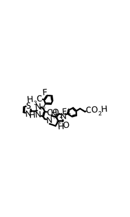 CCOC(=O)C1=C(CN2CC[C@@H]3C(=O)N(c4ccc(CCC(=O)O)cc4)C[C@@H]3C2)NC(c2nccs2)=N[C@H]1c1cccc(F)c1C